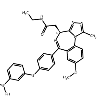 CCNC(=O)C[C@@H]1N=C(c2ccc(Sc3cccc(B(O)O)c3)cc2)c2cc(OC)ccc2-n2c(C)nnc21